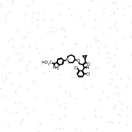 O=C(O)c1nsc2cc(N3CCCC(OCc4c(-c5c(Cl)cccc5Cl)noc4C4CC4)CC3)ccc12